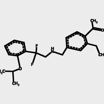 CCc1cc(CNCC(F)(F)c2ccccc2OC(C)C)ccc1C(C)=O